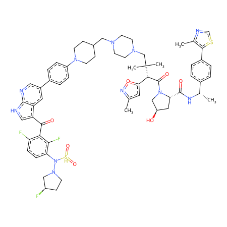 Cc1cc([C@@H](C(=O)N2C[C@H](O)C[C@H]2C(=O)N[C@@H](C)c2ccc(-c3scnc3C)cc2)C(C)(C)CN2CCN(CC3CCN(c4ccc(-c5cnc6[nH]cc(C(=O)c7c(F)ccc(N(N8CC[C@@H](F)C8)[SH](=O)=O)c7F)c6c5)cc4)CC3)CC2)on1